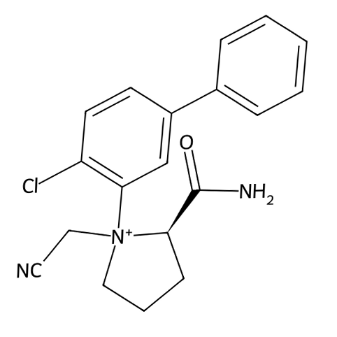 N#CC[N+]1(c2cc(-c3ccccc3)ccc2Cl)CCC[C@@H]1C(N)=O